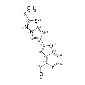 CSc1nn2cc(-c3cc4c([C]=O)cccc4o3)nc2s1